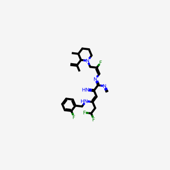 C=N/C(=N\C=C(\F)CN1CCCC(C)C1C(=C)C)C(=N)/C=C(/CC(F)F)NCc1ccccc1F